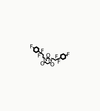 O=C1CC(=O)N(CCC(F)(F)c2ccc(F)cc2)C(=O)N1CCC(F)(F)c1ccc(F)cc1